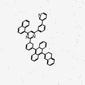 C1=CC(c2nc(-c3cccc(-c4cccnc4)c3)cc(-c3cccc4ccccc34)n2)CC(C2=c3ccccc3=C(C3=Cc4ccccc4CC3)C3C=CC=CC23)=C1